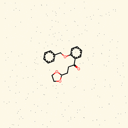 O=C(CCC1OCCO1)c1ccccc1OCc1ccccc1